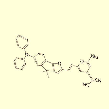 CC(C)(C)C1=CC(=C(C#N)C#N)C=C(/C=C/c2cc3c(o2)-c2ccc(N(c4ccccc4)c4ccccc4)cc2C3(C)C)O1